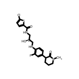 CN1CCCC(c2ccc(NC[C@@H](O)CNC(=O)c3ccc(Cl)s3)c(F)c2)C1=O